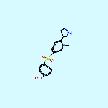 Cc1cc(S(=O)(=O)c2ccc(O)cc2)ccc1C1CCNC1